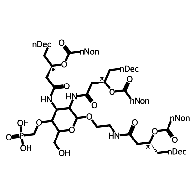 CCCCCCCCCCC[C@H](CC(=O)NCCOC1OC(CO)C(OCP(=O)(O)O)C(NC(=O)C[C@@H](CCCCCCCCCCC)OC(=O)CCCCCCCCC)C1NC(=O)C[C@@H](CCCCCCCCCCC)OC(=O)CCCCCCCCC)OC(=O)CCCCCCCCC